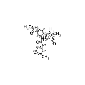 CC(C)(C)OC=O.CNC(=O)c1ccc2c(c1)N(C(=O)CN1CCNC(C)C1)CC2